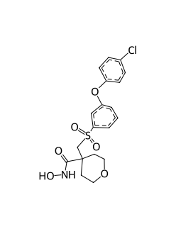 O=C(NO)C1(CS(=O)(=O)c2cccc(Oc3ccc(Cl)cc3)c2)CCOCC1